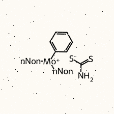 CCCCCCCC[CH2][Mo+]([CH2]CCCCCCCC)[c]1ccccc1.NC(=S)[S-]